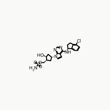 NS(=O)(=O)OC[C@@H]1C[C@@H](n2ccc3c(N[C@H]4CCc5c(Cl)cccc54)ncnc32)C[C@@H]1O